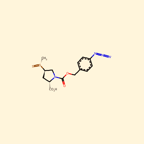 C[S@@](=S)[C@@H]1C[C@@H](C(=O)O)N(C(=O)OCc2ccc(N=[N+]=[N-])cc2)C1